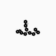 c1cc(-c2ccc3c(ccc4ccccc43)c2)cc(N(c2ccc(-c3cccc(-n4c5ccccc5c5ccccc54)c3)cc2)c2ccc(-c3ccc4c(c3)oc3ccccc34)cc2)c1